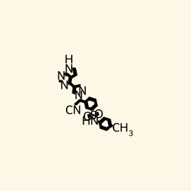 Cc1ccc(NS(=O)(=O)c2cccc(C(CC#N)n3cc(-c4ncnc5[nH]ccc45)cn3)c2)cc1